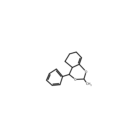 CC1OC2=CCCCC2C(c2ccccc2)O1